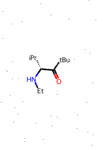 CCN[C@@H](C(=O)C(C)(C)C)C(C)C